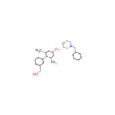 Cc1cc(OC[C@H]2CN(Cc3ccccc3)CCO2)cc(C)c1-c1cccc(CO)c1